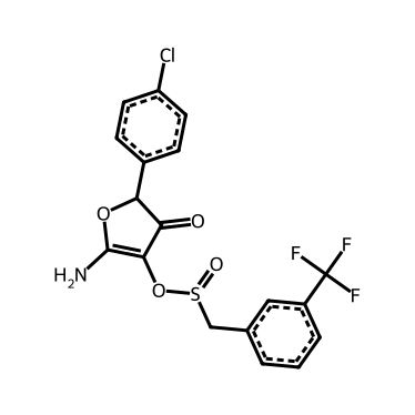 NC1=C(OS(=O)Cc2cccc(C(F)(F)F)c2)C(=O)C(c2ccc(Cl)cc2)O1